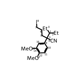 CCC(CC)C(C#N)(CCCI)c1ccc(OC)c(OC)c1